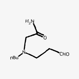 CCCCN(CCC=O)CC(N)=O